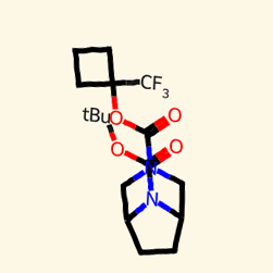 CC(C)(C)OC(=O)N1C2CCC1CN(C(=O)OC1(C(F)(F)F)CCC1)C2